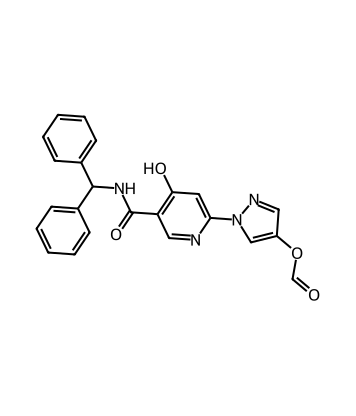 O=COc1cnn(-c2cc(O)c(C(=O)NC(c3ccccc3)c3ccccc3)cn2)c1